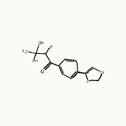 O=C(c1ccc(C2=COCO2)cc1)C(F)C(O)(O)C(F)(F)F